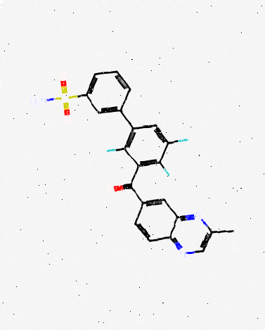 Cc1cnc2ccc(C(=O)c3c(F)c(F)cc(-c4cccc(S(N)(=O)=O)c4)c3F)cc2n1